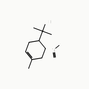 CC1=CCC(C(C)(C)O)CC1.O=NCl